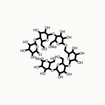 CCC1OC(OC2C(CO)OC(OC3C(COC)OC(OCC4OC(OC5C(CO)OC(OC6C(CO)OC(OC)C(O)C6O)C(O)C5O)C(O)C(O)C4O)C(O)C3O)C(O)C2O)C(O)C(O)C1O